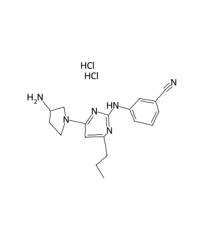 CCCc1cc(N2CCC(N)C2)nc(Nc2cccc(C#N)c2)n1.Cl.Cl